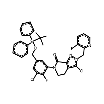 CC(C)(C)[Si](OCc1cc(Cl)c(F)c(N2CCc3c(nn(Cc4ncccc4F)c3Cl)C2=O)c1)(c1ccccc1)c1ccccc1